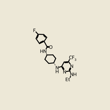 CCNc1nc(N[C@H]2CC[C@@H](NC(=O)c3ccc(F)cc3)CC2)cc(C(F)(F)F)n1